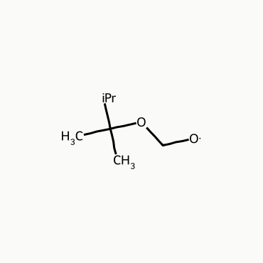 CC(C)C(C)(C)OC[O]